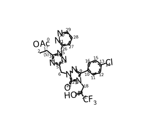 CC(=O)O[C@@H](C)c1nc(Cn2nc(-c3ccc(Cl)cc3)n(C[C@H](O)C(F)(F)F)c2=O)nn1-c1cccnn1